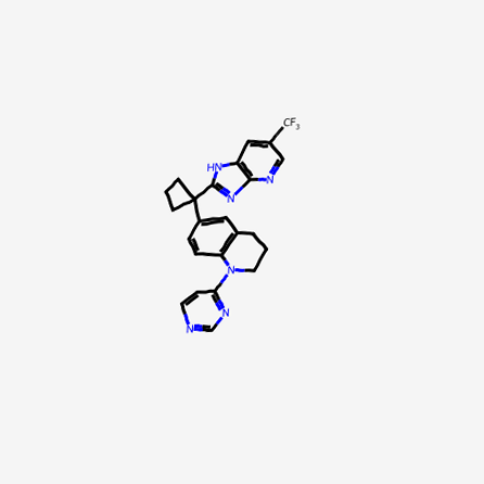 FC(F)(F)c1cnc2nc(C3(c4ccc5c(c4)CCCN5c4ccncn4)CCC3)[nH]c2c1